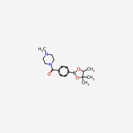 CC1OB(c2ccc(C(=O)N3CCN(C)CC3)cc2)OC1(C)C